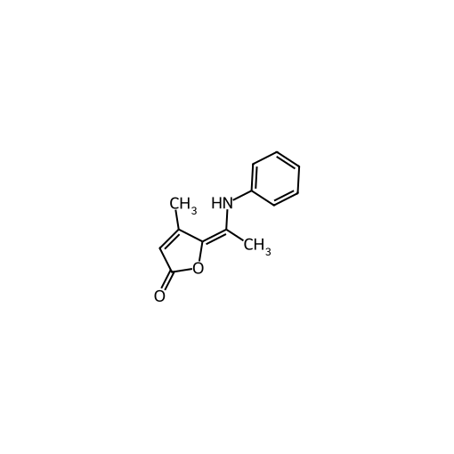 CC1=CC(=O)OC1=C(C)Nc1ccccc1